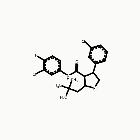 CC(C)(C)CC1NCC(c2cccc(Cl)c2)C1C(=O)Nc1ccc(F)c(Cl)c1